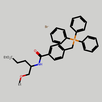 CCOCC(CCC(=O)OCC)NC(=O)c1ccc(C[P+](c2ccccc2)(c2ccccc2)c2ccccc2)cc1.[Br-]